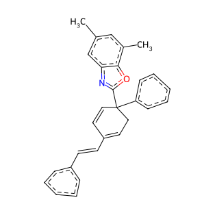 Cc1cc(C)c2oc(C3(c4ccccc4)C=CC(C=Cc4ccccc4)=CC3)nc2c1